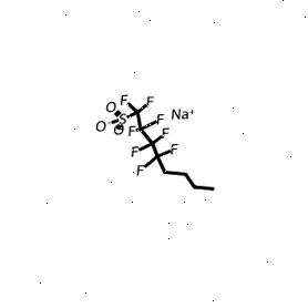 CCCCC(F)(F)C(F)(F)C(F)(F)C(F)(F)S(=O)(=O)[O-].[Na+]